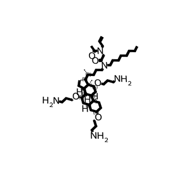 C=CCN(CC(=O)N(CCCCCCCC)CCC[C@@H](C)[C@H]1CC[C@H]2[C@@H]3[C@H](OCCCN)C[C@@H]4C[C@H](OCCCN)CC[C@]4(C)[C@H]3C[C@H](OCCCN)[C@]12C)C(C)=O